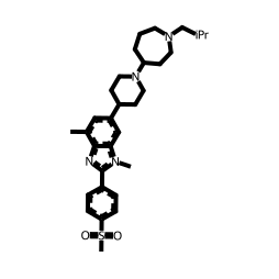 Cc1cc(C2CCN(C3CCCN(CC(C)C)CC3)CC2)cc2c1nc(-c1ccc(S(C)(=O)=O)cc1)n2C